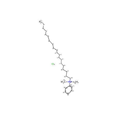 CCCCCCCCCCCCCCCCCCCC[N+](C)(C)c1ccccc1.[Cl-]